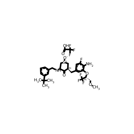 COC[C@@H](Oc1cc(C[C@@H]2C[S+]([O-])C[C@H](NCc3cccc(C(C)(C)C)c3)C2=O)cc(F)c1N)C(F)(F)F.O=C(O)C(F)(F)F